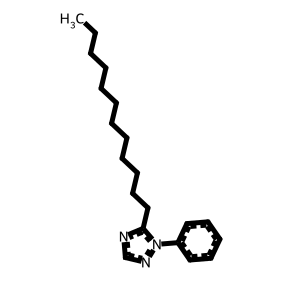 CCCCCCCCCCCCc1ncnn1-c1ccccc1